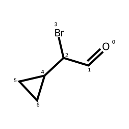 O=CC(Br)C1CC1